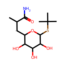 CC([CH]C1OC(SC(C)(C)C)C(O)C(O)C1O)C(N)=O